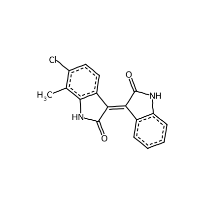 Cc1c(Cl)ccc2c1NC(=O)/C2=C1/C(=O)Nc2ccccc21